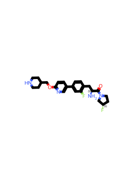 N[C@@H](Cc1ccc(-c2ccc(OCC3CCNCC3)nc2)cc1F)C(=O)N1CC[C@H](F)C1